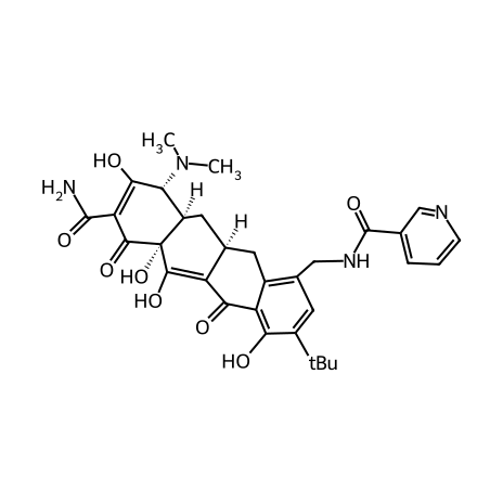 CN(C)[C@H]1C(O)=C(C(N)=O)C(=O)[C@]2(O)C(O)=C3C(=O)c4c(O)c(C(C)(C)C)cc(CNC(=O)c5cccnc5)c4C[C@@H]3C[C@H]12